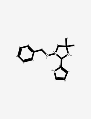 CC1(C)CN(OCc2ccccc2)C(c2cccs2)O1